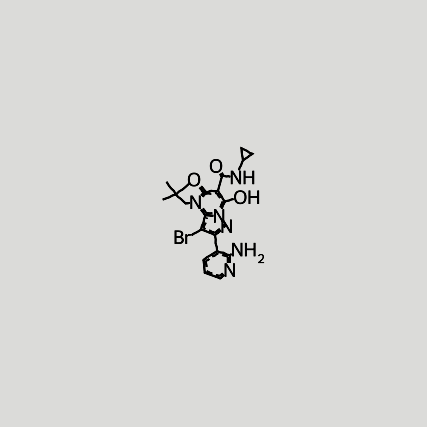 CC(C)(C)Cn1c(=O)c(C(=O)NC2CC2)c(O)n2nc(-c3cccnc3N)c(Br)c12